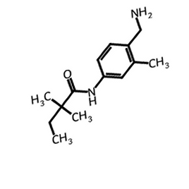 CCC(C)(C)C(=O)Nc1ccc(CN)c(C)c1